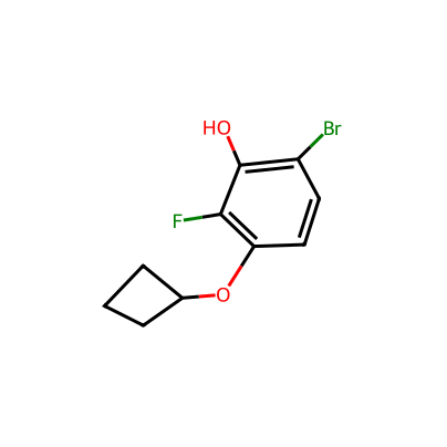 Oc1c(Br)ccc(OC2CCC2)c1F